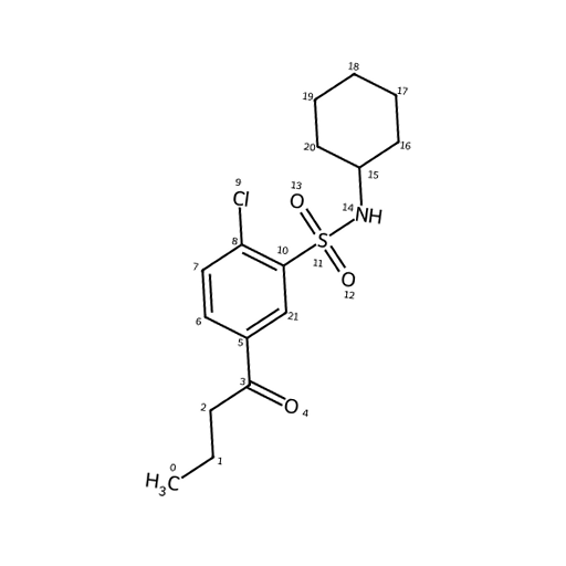 CCCC(=O)c1ccc(Cl)c(S(=O)(=O)NC2CCCCC2)c1